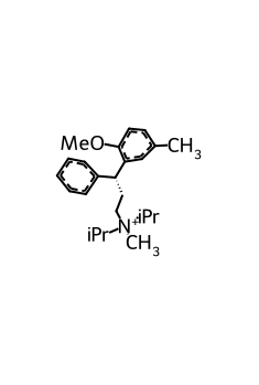 COc1ccc(C)cc1[C@H](CC[N+](C)(C(C)C)C(C)C)c1ccccc1